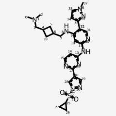 CN(C)CC1CC(CNc2cc(Nc3ccnc(-c4cnn(S(=O)(=O)C5CC5)c4)n3)ncc2-c2ccn(C)n2)C1